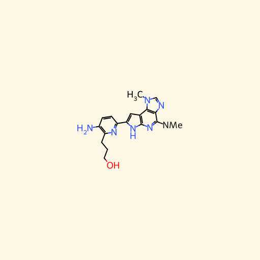 CNc1nc2[nH]c(-c3ccc(N)c(CCCO)n3)cc2c2c1ncn2C